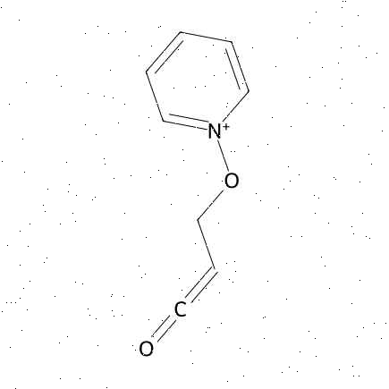 O=C=CCO[n+]1ccccc1